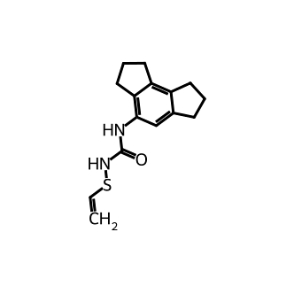 C=CSNC(=O)Nc1cc2c(c3c1CCC3)CCC2